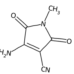 CN1C(=O)C(N)=C(C#N)C1=O